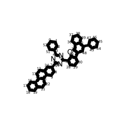 c1ccc(-c2nc(-c3ccc4c(ccc5c6ccccc6ccc45)c3)nc(-c3cccc4c3oc3c5ccccc5c(-c5ccccc5)cc43)n2)cc1